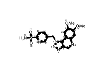 COc1cc2ncc3nnn(Cc4ccc(S(N)(=O)=O)nc4)c3c2cc1OC